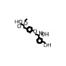 CCOC(Cc1ccc(OCC(=NO)c2cccc(CO)c2)cc1)C(=O)O